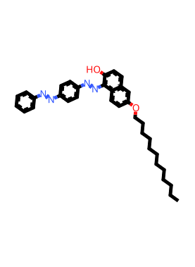 CCCCCCCCCCCCOc1ccc2c(/N=N/c3ccc(/N=N/c4ccccc4)cc3)c(O)ccc2c1